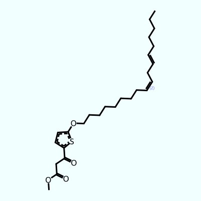 CCCCCC=CC/C=C\CCCCCCCCOc1ccc(C(=O)CC(=O)OC)s1